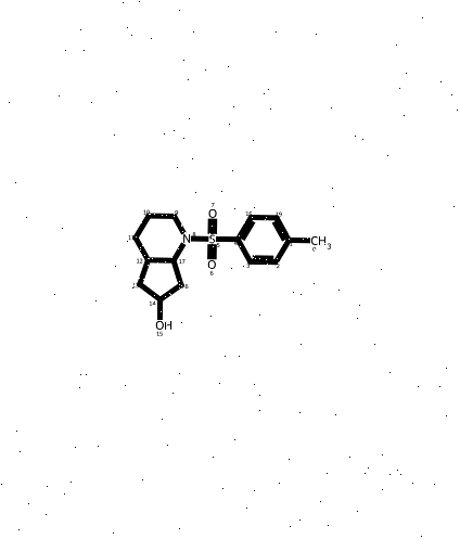 Cc1ccc(S(=O)(=O)N2CCCC3CC(O)CC32)cc1